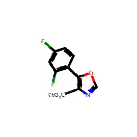 CCOC(=O)c1ncoc1-c1ccc(F)cc1F